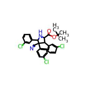 CC(C)(C)OC(=O)C1NC(c2cccc(Cl)c2)C(C#N)(c2ccc(Cl)cc2)C1c1cccc(Cl)c1